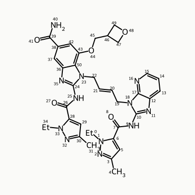 CCn1nc(C)cc1C(=O)Nc1nc2cccnc2n1C/C=C/Cn1c(NC(=O)c2cc(C)nn2CC)nc2cc(C(N)=O)cc(OCC3COC3)c21